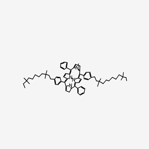 CCC(C)(C)CCCCCCC(C)(C)CCc1ccc(-c2c3[n+](C)c(c(-c4ccccc4)c4ccc5c(-c6ccc(CCC(C)(C)CCCCCC(C)(C)CC)cc6)c6nc(c(-c7ccccc7)c7ccc2n7n54)CC=6)=CC3)cc1